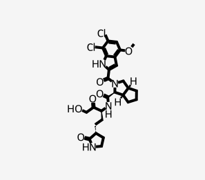 COc1cc(Cl)c(Cl)c2[nH]c(C(=O)N3C[C@@H]4CCC[C@@H]4[C@H]3C(=O)N[C@@H](CC[C@@H]3CCNC3=O)C(=O)CO)cc12